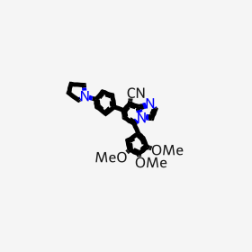 COc1cc(-c2cc(-c3ccc(N4CCCC4)cc3)c(C#N)c3nccn23)cc(OC)c1OC